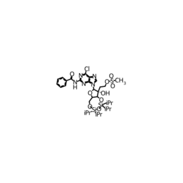 CC(C)[Si]1(C(C)C)OCC2OC(n3cnc4c(Cl)nc(NC(=O)c5ccccc5)nc43)[C@@](O)(CCOS(C)(=O)=O)C2O[Si](C(C)C)(C(C)C)O1